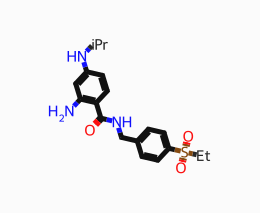 CCS(=O)(=O)c1ccc(CNC(=O)c2ccc(NC(C)C)cc2N)cc1